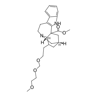 COCCOCOCCC1C[C@@H]2CN3CCc4c([nH]c5ccccc45)C(C(=O)OC)(C2)[C@H]13